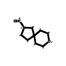 O=CN1CCC2(CCOCC2)C1